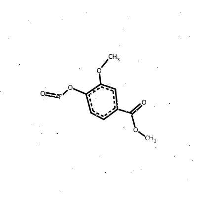 COC(=O)c1ccc(OP=O)c(OC)c1